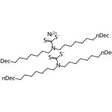 CCCCCCCCCCCCCCCCCN(CCCCCCCCCCCCCCCCC)C(=S)[S-].CCCCCCCCCCCCCCCCCN(CCCCCCCCCCCCCCCCC)C(=S)[S-].[Ni+2]